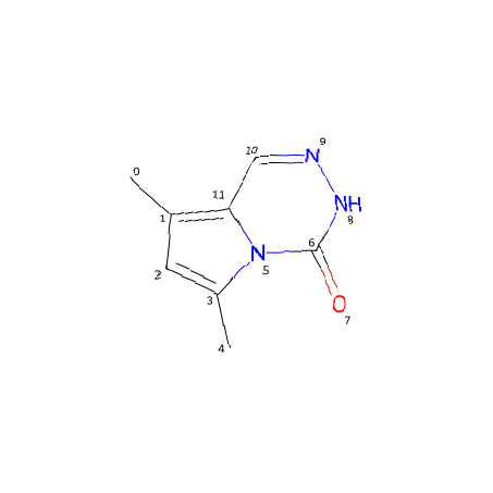 Cc1cc(C)n2c(=O)[nH]ncc12